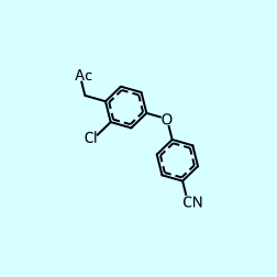 CC(=O)Cc1ccc(Oc2ccc(C#N)cc2)cc1Cl